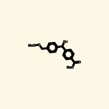 COOCc1ccc(C(O)c2ccc(C(=O)OC)cc2)cc1